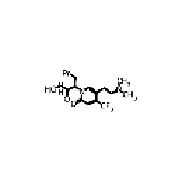 CC(C)CC(C(=O)NO)n1cc(CCN(C)C)c(C(F)(F)F)cc1=O